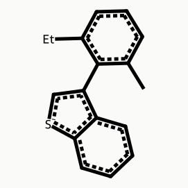 CCc1cccc(C)c1-c1csc2ccccc12